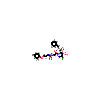 CO[C@H]1[C@@H](C(=O)OCc2ccccc2)N(C(=O)CNC(=O)CCCOc2ccccc2)C[C@@H]1F